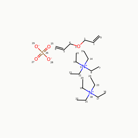 C=CCOCC=C.CC[N+](CC)(CC)CC.CC[N+](CC)(CC)CC.O=S(=O)([O-])[O-]